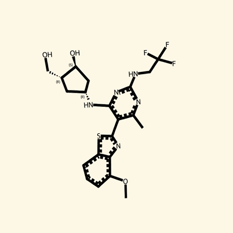 COc1cccc2sc(-c3c(C)nc(NCC(F)(F)F)nc3N[C@@H]3C[C@H](CO)[C@@H](O)C3)nc12